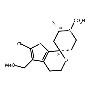 COCc1c(Cl)sc2c1CCO[C@@]21CCN(C(=O)O)[C@@H](C)C1